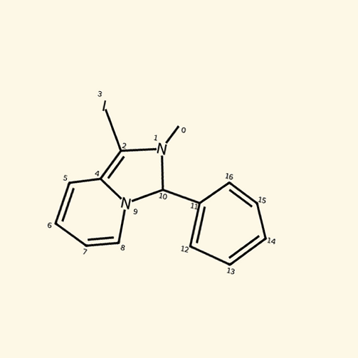 CN1C(I)=C2C=CC=CN2C1c1ccccc1